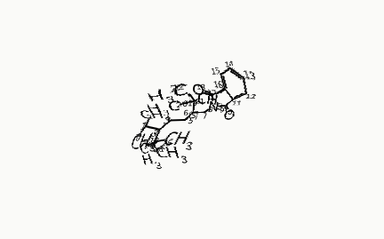 CC(C)C(CC[C@H](CN1C(=O)c2ccccc2C1=O)C(C)(C)C)C(C)(C)C